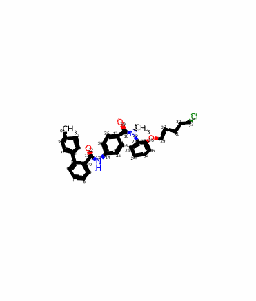 Cc1ccc(-c2ccccc2C(=O)Nc2ccc(C(=O)N(C)c3ccccc3OCCCCCCl)cc2)cc1